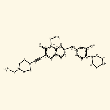 CCN1CCC(C#Cc2cc3cnc(Nc4ccc(N5CCNCC5)c(Cl)c4)nc3n(CC)c2=O)CC1